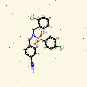 N#Cc1ccc(CN(Cc2ccccc2Cl)S(=O)(=O)c2ccc(Cl)cc2)cc1